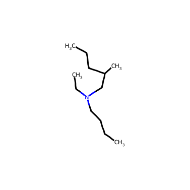 CCCCN(CC)CC(C)CCC